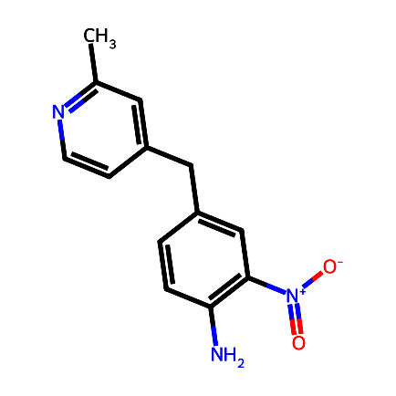 Cc1cc(Cc2ccc(N)c([N+](=O)[O-])c2)ccn1